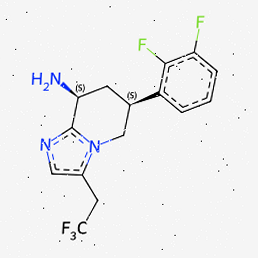 N[C@H]1C[C@@H](c2cccc(F)c2F)Cn2c(CC(F)(F)F)cnc21